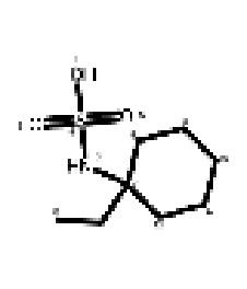 CCC1(NS(=O)(=O)O)CCCCC1